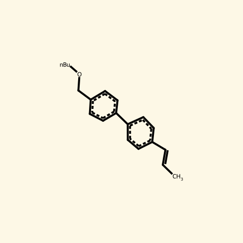 CC=Cc1ccc(-c2ccc(COCCCC)cc2)cc1